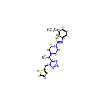 CCC(c1nnnn1Cc1cccs1)N1CCN(c2nc3cccc(C(=O)O)c3s2)CC1